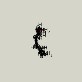 CO[C@@H]1[C@H](O)[C@@H](COP(=O)(O)OCCOCCOP(=O)(O)OC[C@H]2O[C@@H](N3CN(C)c4c3nc(N)[nH]c4=O)[C@H](O)[C@@H]2O)O[C@H]1n1cnc2c(=O)[nH]c(N)nc21